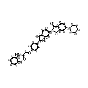 O=C(COc1ccc(-c2nc3cc(N4Cc5cc(N6CCCCC6)ccc5C4=O)ccc3[nH]2)cc1)Nc1ccccc1F